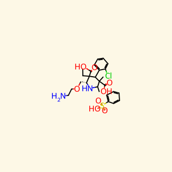 CCC1(C(=O)O)C(c2ccccc2Cl)C(C)(C(=O)O)C(C)N[C@@H]1COCCN.O=S(=O)(O)c1ccccc1